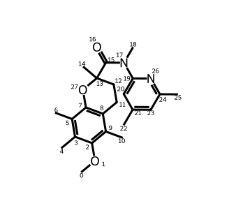 COc1c(C)c(C)c2c(c1C)CCC(C)(C(=O)N(C)c1cc(C)cc(C)n1)O2